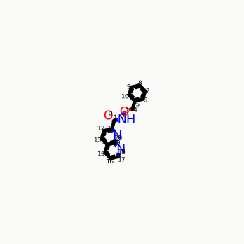 O=C(NOCc1ccccc1)c1ccc2cccnc2n1